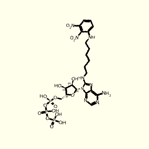 Nc1ncnc2c1nc(NCCCCCCNc1cccc([N+](=O)[O-])c1[N+](=O)[O-])n2[C@@H]1O[C@H](COP(=O)(O)OP(=O)(O)OP(=O)(O)O)[C@@H](O)[C@H]1O